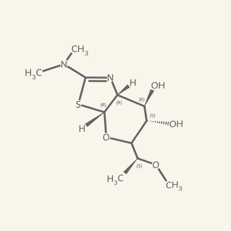 CO[C@@H](C)C1O[C@@H]2SC(N(C)C)=N[C@@H]2[C@@H](O)[C@@H]1O